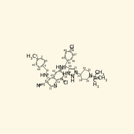 Cc1ccc(CNc2c(C#N)cnc3c(Cl)cc(N[C@H](C4=CN(C5CCN(C(C)(C)C)CC5)NN4)c4ccc(Cl)cc4)cc23)cc1